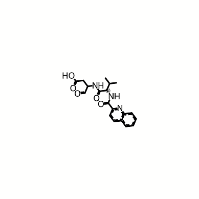 CC(C)[C@H](NC(=O)c1ccc2ccccc2n1)C(=O)NC(C=O)CC(=O)O